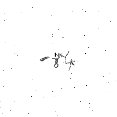 C=CC(=O)NC(C)C[N+](C)(C)C